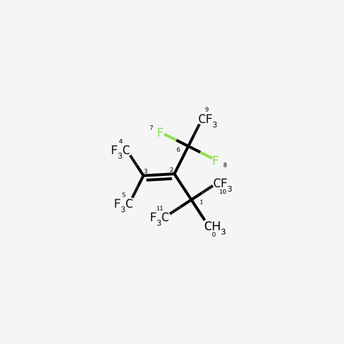 CC(C(=C(C(F)(F)F)C(F)(F)F)C(F)(F)C(F)(F)F)(C(F)(F)F)C(F)(F)F